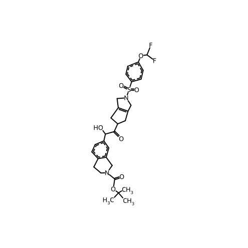 CC(C)(C)OC(=O)N1CCc2ccc(C(O)C(=O)C3CC4=C(C3)CN(S(=O)(=O)c3ccc(OC(F)F)cc3)C4)cc2C1